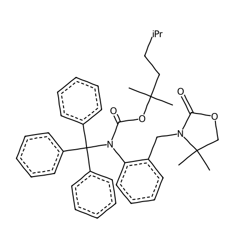 CC(C)CCC(C)(C)OC(=O)N(c1ccccc1CN1C(=O)OCC1(C)C)C(c1ccccc1)(c1ccccc1)c1ccccc1